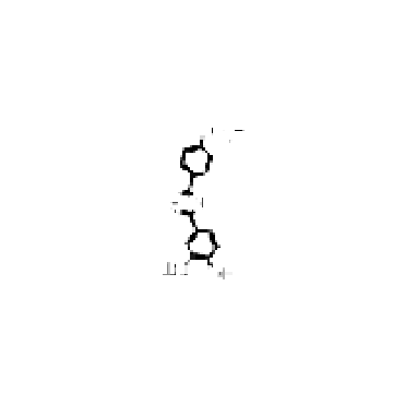 CC(C)(C)c1cc(-c2noc(-c3ccc(C(=O)O)cc3)n2)ccc1O